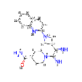 N=C(C(=N)N1CCC(C(N)=O)CC1)C1CN(c2ccc3ccccc3n2)C1